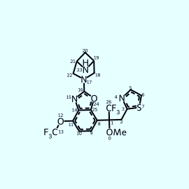 COC(Cc1nccs1)(c1ccc(OC(F)(F)F)c2nc(N3CC4CC(C3)N4)oc12)C(F)(F)F